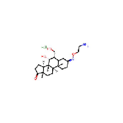 C[C@]12CC/C(=N/OCCN)CC1[C@@H](CO)[C@@H](O)[C@@H]1[C@@H]2CC[C@]2(C)C(=O)CC[C@@H]12.Cl